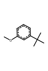 COc1[c]ccc(C(C)(C)C)c1